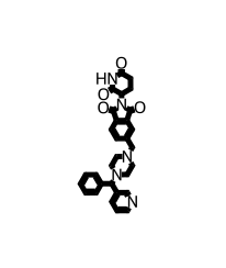 O=C1CCC(N2C(=O)c3ccc(CN4CCN(C(c5ccccc5)c5cccnc5)CC4)cc3C2=O)C(=O)N1